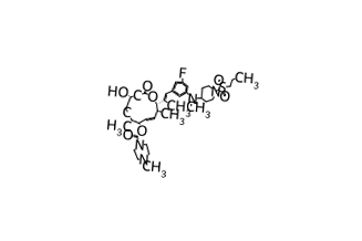 CCCS(=O)(=O)N1CCC(N(C)c2cc(F)cc(/C=C(\C)[C@H]3OC(=O)C[C@@H](O)CC[C@@H](C)[C@@H](OC(=O)N4CCN(C)CC4)/C=C/[C@@H]3C)c2)CC1